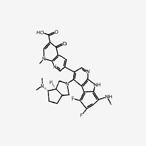 CNc1cc(F)c(F)c2c1[nH]c1ncc(-c3cnc4c(c3)c(=O)c(C(=O)O)cn4C)c(N3CC4CC[C@H](N(C)C)[C@H]4C3)c12